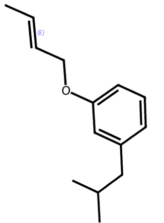 C/C=C/COc1cccc(CC(C)C)c1